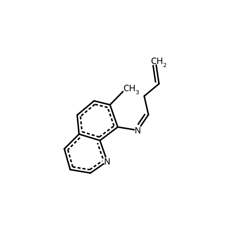 C=CC/C=N\c1c(C)ccc2cccnc12